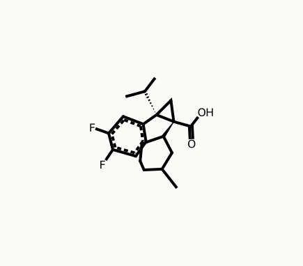 CC1CCCC([C@]2(C(=O)O)C[C@@]2(c2ccc(F)c(F)c2)C(C)C)C1